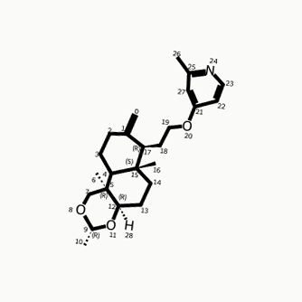 C=C1CCC2[C@]3(C)CO[C@@H](C)O[C@@H]3CC[C@@]2(C)[C@@H]1CCOc1ccnc(C)c1